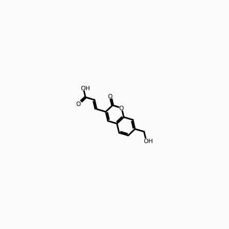 O=C(O)/C=C/c1cc2ccc(CO)cc2oc1=O